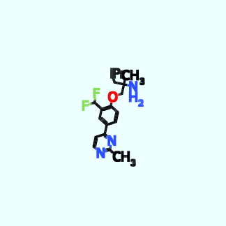 Cc1nccc(-c2ccc(OCC(C)(N)CC(C)C)c(C(F)F)c2)n1